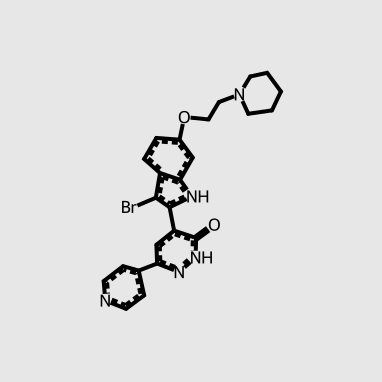 O=c1[nH]nc(-c2ccncc2)cc1-c1[nH]c2cc(OCCN3CCCCC3)ccc2c1Br